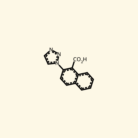 O=C(O)c1c(-n2ccnn2)ccc2ccccc12